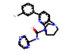 O=C(Nc1cnccn1)N1c2nc(-c3cccc(C(F)(F)F)c3)ccc2N2CCC1CC2